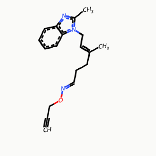 C#CCON=CCC/C(C)=C/Cn1c(C)nc2ccccc21